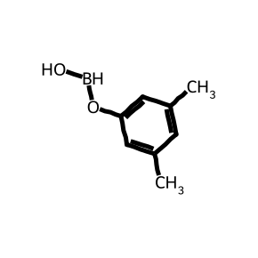 Cc1cc(C)cc(OBO)c1